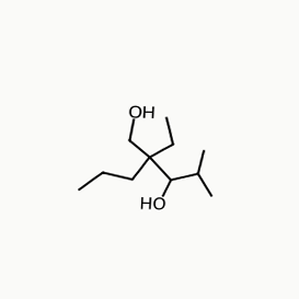 CCCC(CC)(CO)C(O)C(C)C